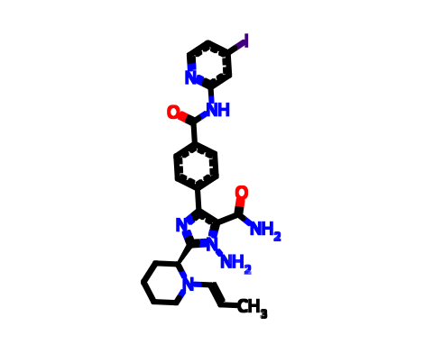 CC=CN1CCCC[C@H]1c1nc(-c2ccc(C(=O)Nc3cc(I)ccn3)cc2)c(C(N)=O)n1N